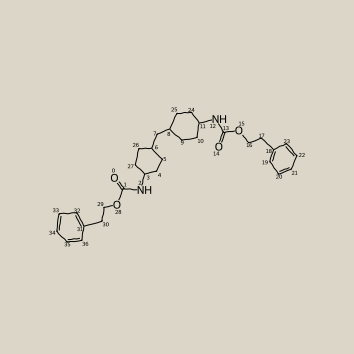 O=C(NC1CCC(CC2CCC(NC(=O)OCCc3ccccc3)CC2)CC1)OCCc1ccccc1